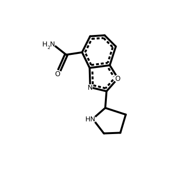 NC(=O)c1cccc2oc(C3CCCN3)nc12